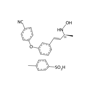 C[C@@H](C=Cc1cccc(Oc2ccc(C#N)cc2)c1)NO.Cc1ccc(S(=O)(=O)O)cc1